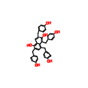 Oc1ccc(Cc2cc3c(O)c(Cc4ccc(O)cc4)cc(Cc4ccc(O)cc4)c3c(Cc3ccc(O)cc3)c2O)cc1